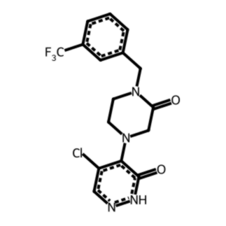 O=C1CN(c2c(Cl)cn[nH]c2=O)CCN1Cc1cccc(C(F)(F)F)c1